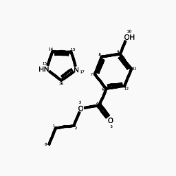 CCCOC(=O)c1ccc(O)cc1.c1c[nH]cn1